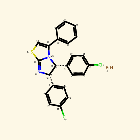 Br.Clc1ccc([C@@H]2[C@H](c3ccc(Cl)cc3)N=C3SC=C(c4ccccc4)N32)cc1